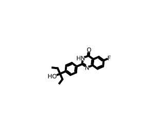 CCC(O)(CC)c1ccc(-c2nc3ccc(F)cc3c(=O)[nH]2)cc1